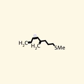 C=C/C=C\C(=C)CCCSC